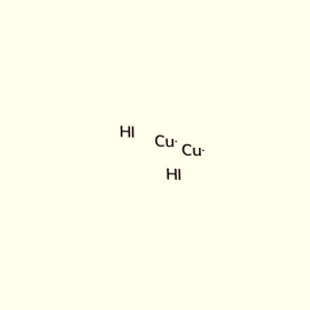 I.I.[Cu].[Cu]